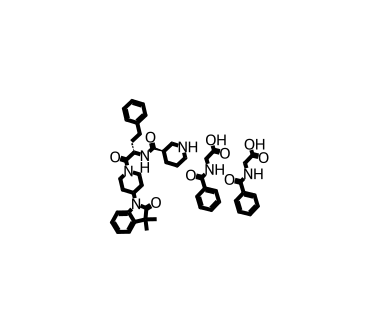 CC1(C)C(=O)N(C2CCN(C(=O)[C@H](CCc3ccccc3)NC(=O)[C@@H]3CCCNC3)CC2)c2ccccc21.O=C(O)CNC(=O)c1ccccc1.O=C(O)CNC(=O)c1ccccc1